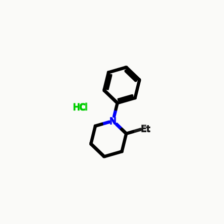 CCC1CCCCN1c1ccccc1.Cl